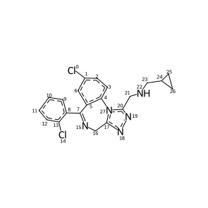 Clc1ccc2c(c1)C(c1ccccc1Cl)=NCc1nnc(CNCC3CC3)n1-2